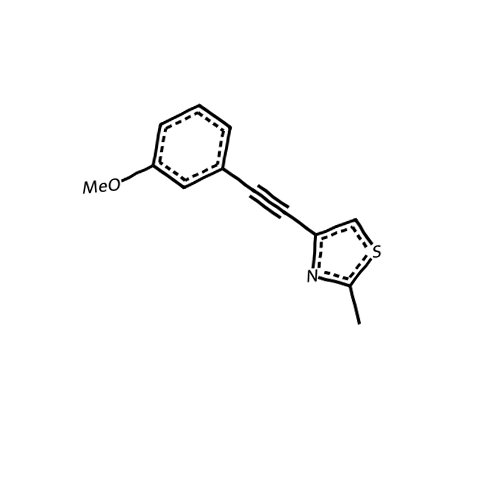 COc1cccc(C#Cc2csc(C)n2)c1